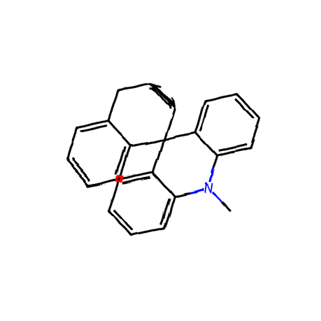 CN1c2ccccc2C2(c3ccccc3Cc3ccccc32)c2ccccc21